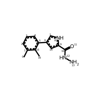 Cc1cccc(-c2c[nH]c(C(=O)NN)c2)c1C